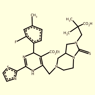 CCOC(=O)C1=C(CN2CCN3C(=S)N(CC(C)(C)C(=O)O)CC3C2)NC(c2nccs2)=NC1c1ccc(C)cc1F